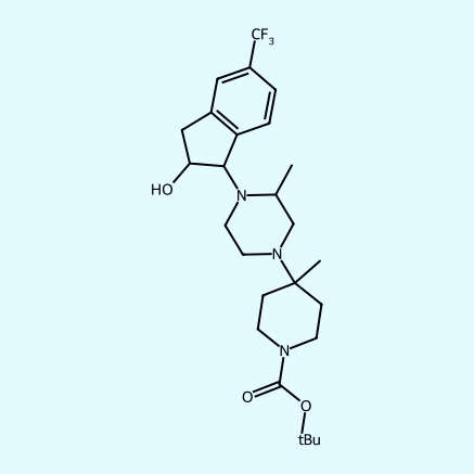 CC1CN(C2(C)CCN(C(=O)OC(C)(C)C)CC2)CCN1C1c2ccc(C(F)(F)F)cc2CC1O